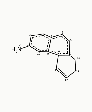 Nc1ccc2ccc3c(c2c1)C=CCC3